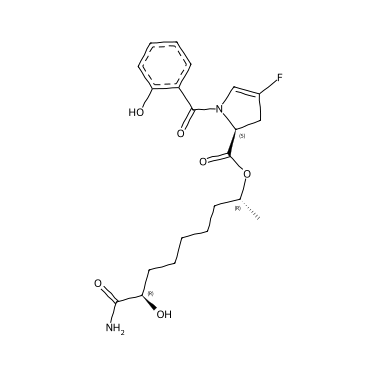 C[C@H](CCCCC[C@@H](O)C(N)=O)OC(=O)[C@@H]1CC(F)=CN1C(=O)c1ccccc1O